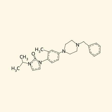 Cc1cc(N2CCN(Cc3ccccc3)CC2)ccc1-n1ccn(C(C)C)c1=O